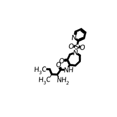 CC[C@@H](C)[C@H](N)C(=O)NC1CCCN(S(=O)(=O)c2ccccn2)CC1=O